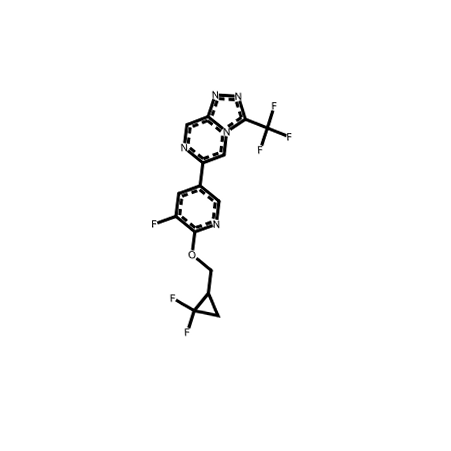 Fc1cc(-c2cn3c(C(F)(F)F)nnc3cn2)cnc1OCC1CC1(F)F